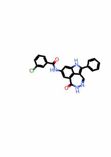 O=C(Nc1cc2c3c(c(-c4ccccc4)[nH]c3c1)C=NNC2=O)c1cccc(Cl)c1